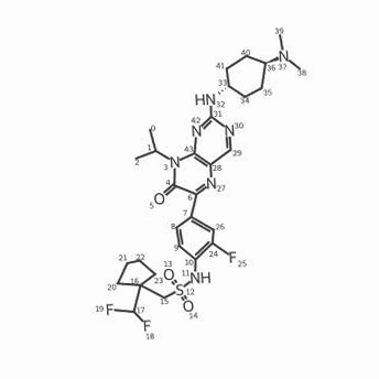 CC(C)n1c(=O)c(-c2ccc(NS(=O)(=O)CC3(C(F)F)CCCC3)c(F)c2)nc2cnc(N[C@H]3CC[C@H](N(C)C)CC3)nc21